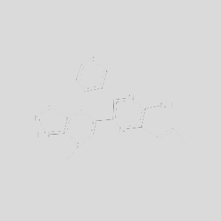 C/C=C/c1nc(-c2cc(Cl)c3[nH]ncc3c2)c(-c2ccccc2)nc1N